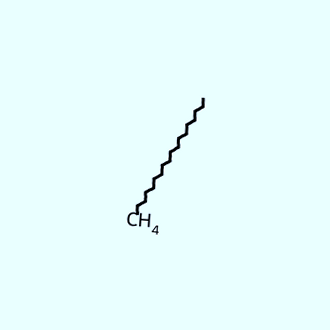 C.CCCCCCCCCCCCCCCCCC